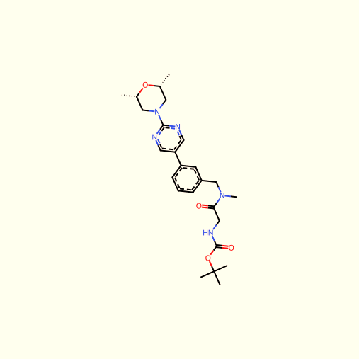 C[C@@H]1CN(c2ncc(-c3cccc(CN(C)C(=O)CNC(=O)OC(C)(C)C)c3)cn2)C[C@H](C)O1